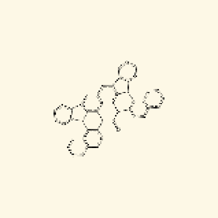 O=C1C2c3ccc4ccccc4c3C3c4ccccc4-c4cc5cc6c7c(c5c2c43)C1c1ccc2ccccc2c1C7c1ccccc1-6